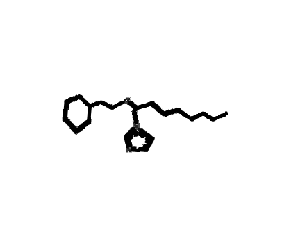 CCCCCCCC(OCCC1CCCCC1)n1ccnc1